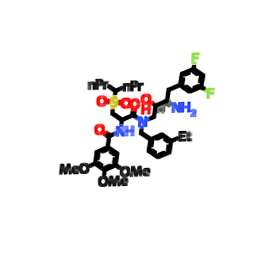 CCCC(CCC)S(=O)(=O)CC(NC(=O)c1cc(OC)c(OC)c(OC)c1)C(=O)N(Cc1cccc(CC)c1)C[C@@H](O)[C@@H](N)Cc1cc(F)cc(F)c1